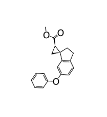 COC(=O)[C@@H]1C[C@]12CCc1ccc(Oc3ccccc3)cc12